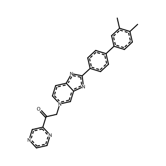 Cc1ccc(-c2ccc(-c3nc4ccn(CC(=O)c5cnccn5)cc-4n3)cc2)cc1C